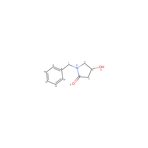 O=C1CC(O)CN1Cc1ccccc1